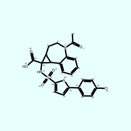 CC(=O)N1CCC2C(c3ccccc31)C2(NS(=O)(=O)c1ccc(-c2ccc(Cl)cc2)s1)C(=O)O